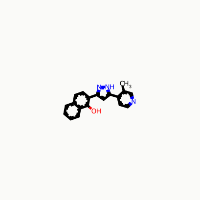 Cc1cnccc1-c1cc(-c2ccc3ccccc3c2O)n[nH]1